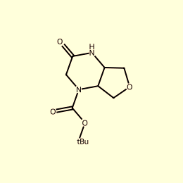 CC(C)(C)OC(=O)N1CC(=O)NC2COCC21